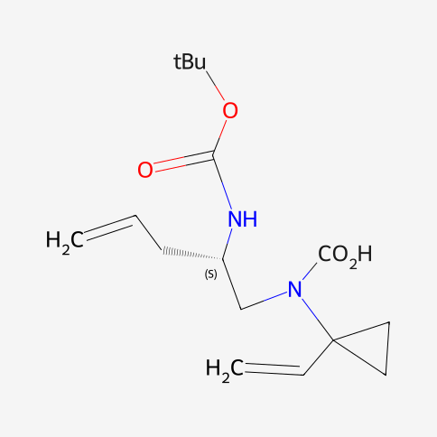 C=CC[C@@H](CN(C(=O)O)C1(C=C)CC1)NC(=O)OC(C)(C)C